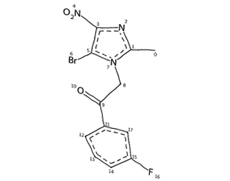 Cc1nc([N+](=O)[O-])c(Br)n1CC(=O)c1cccc(F)c1